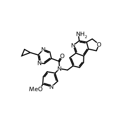 COc1ccc(N(Cc2ccc3c4c(c(N)nc3c2)COC4)C(=O)c2cnc(C3CC3)nc2)cn1